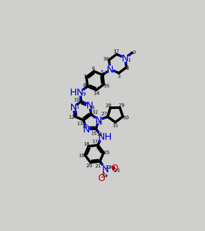 CN1CCN(c2ccc(Nc3ncc4nc(Nc5cccc([N+](=O)[O-])c5)n(C5CCCC5)c4n3)cc2)CC1